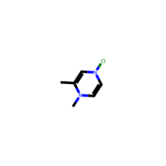 CC1=CN(Cl)C=CN1C